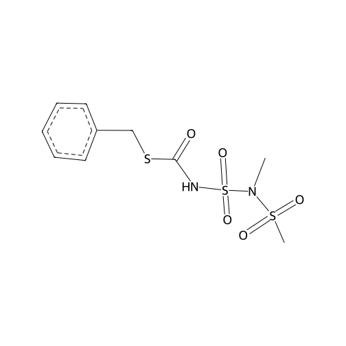 CN(S(C)(=O)=O)S(=O)(=O)NC(=O)SCc1ccccc1